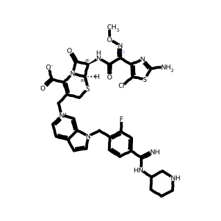 CO/N=C(\C(=O)N[C@@H]1C(=O)N2C(C(=O)[O-])=C(C[n+]3ccc4ccn(Cc5ccc(C(=N)NC6CCCNC6)cc5F)c4c3)CS[C@H]12)c1nc(N)sc1Cl